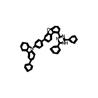 c1ccc(C2=NC(c3cccc4oc5cc(-c6ccc(-n7c8ccccc8c8cc(-c9ccccc9)ccc87)cc6)ccc5c34)=NC(c3ccccc3)N2)cc1